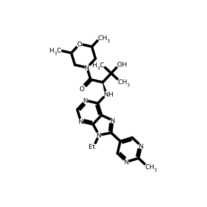 CCn1c(-c2cnc(C)nc2)nc2c(N[C@@H](C(=O)N3CC(C)OC(C)C3)C(C)(C)O)ncnc21